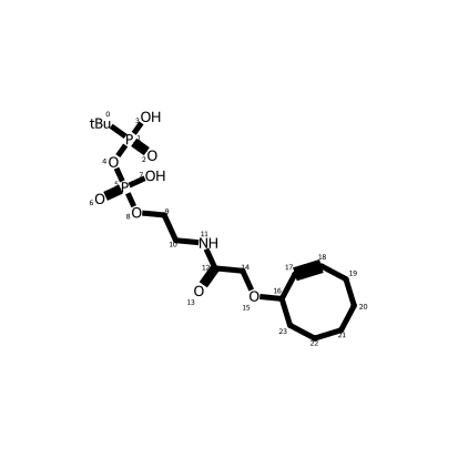 CC(C)(C)P(=O)(O)OP(=O)(O)OCCNC(=O)COC1C#CCCCCC1